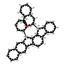 c1ccc(-n2c3cc4ccccc4cc3c3ccc4c5ccccc5n(-c5cc6ccccc6cn5)c4c32)cc1